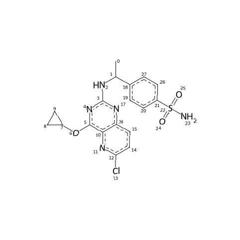 CC(Nc1nc(OC2CC2)c2nc(Cl)ccc2n1)c1ccc(S(N)(=O)=O)cc1